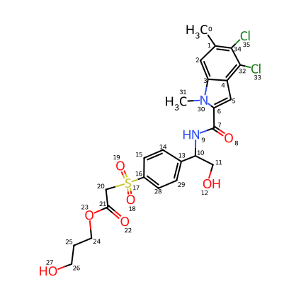 Cc1cc2c(cc(C(=O)NC(CO)c3ccc(S(=O)(=O)CC(=O)OCCCO)cc3)n2C)c(Cl)c1Cl